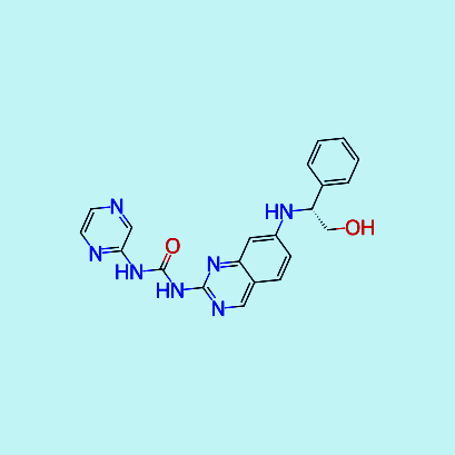 O=C(Nc1cnccn1)Nc1ncc2ccc(N[C@@H](CO)c3ccccc3)cc2n1